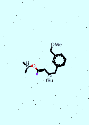 COCc1cccc(C[C@@H](C=C(I)O[SiH](C)C)C(C)(C)C)c1